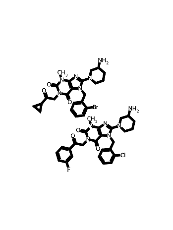 Cn1c(=O)n(CC(=O)C2CC2)c(=O)c2c1nc(N1CCCC(N)C1)n2Cc1ccccc1Br.Cn1c(=O)n(CC(=O)c2cccc(F)c2)c(=O)c2c1nc(N1CCCC(N)C1)n2Cc1ccccc1Cl